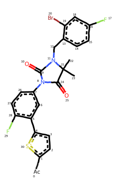 CC(=O)c1ccc(-c2cc(N3C(=O)N(Cc4ccc(F)cc4Br)C(C)(C)C3=O)ccc2F)s1